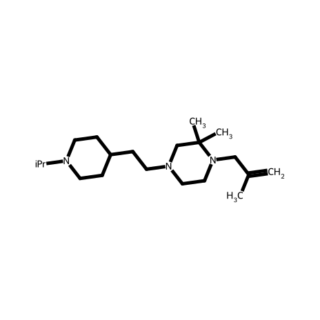 C=C(C)CN1CCN(CCC2CCN(C(C)C)CC2)CC1(C)C